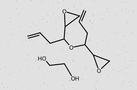 C=CCC(OC(CC=C)C1CO1)C1CO1.OCCO